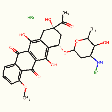 Br.COc1cccc2c1C(=O)c1c(O)c3c(c(O)c1C2=O)C[C@@](O)(C(C)=O)C[C@@H]3OC1CC(NBr)C(O)C(C)O1